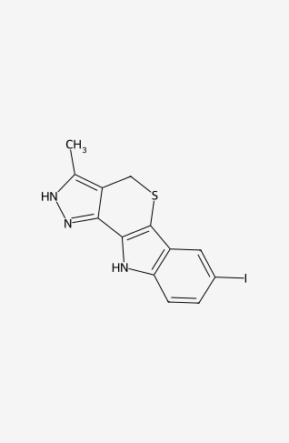 Cc1[nH]nc2c1CSc1c-2[nH]c2ccc(I)cc12